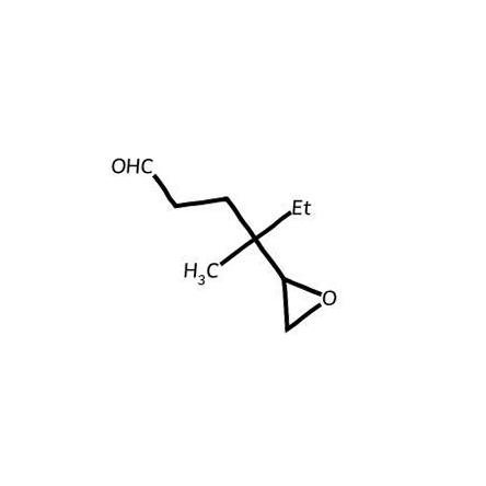 CCC(C)(CCC=O)C1CO1